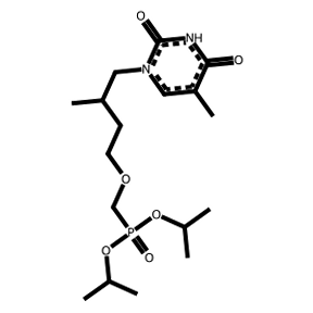 Cc1cn(CC(C)CCOCP(=O)(OC(C)C)OC(C)C)c(=O)[nH]c1=O